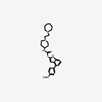 CCOc1ccc(-c2cccc3[nH]c(OC(=O)NC4CCN(CCN5CCCCCC5)CC4)cc23)cc1